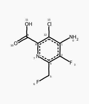 Nc1c(F)c(CF)nc(C(=O)O)c1Cl